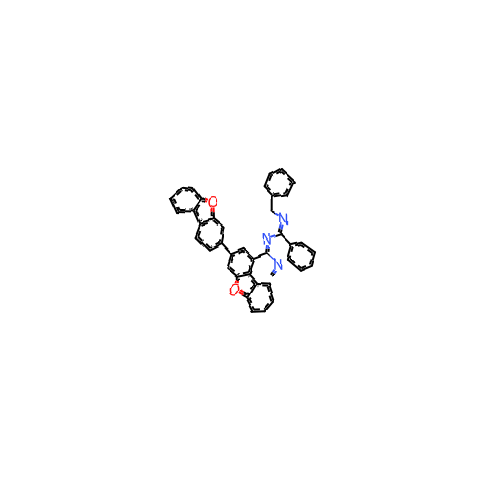 C=N/C(=N\C(=N/Cc1ccccc1)c1ccccc1)c1cc(-c2ccc3c(c2)oc2ccccc23)cc2oc3ccccc3c12